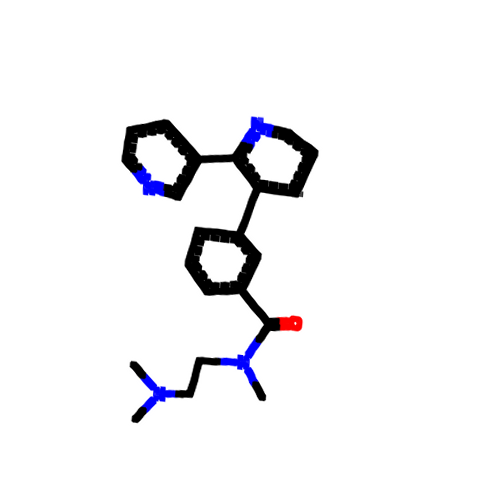 CN(C)CCN(C)C(=O)c1cccc(-c2[c]ccnc2-c2cccnc2)c1